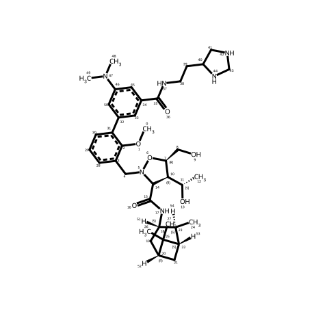 COc1c(CN2O[C@@H](CO)[C@@H]([C@H](C)O)C2C(=O)N[C@H]2C[C@H]3C[C@@H]([C@@H]2C)C3(C)C)cccc1-c1cc(C(=O)NCCC2CNCN2)cc(N(C)C)c1